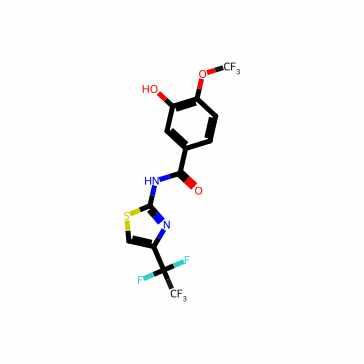 O=C(Nc1nc(C(F)(F)C(F)(F)F)cs1)c1ccc(OC(F)(F)F)c(O)c1